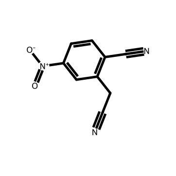 N#CCc1cc([N+](=O)[O-])ccc1C#N